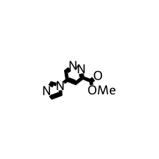 COC(=O)c1cc(-n2ccnc2)cnn1